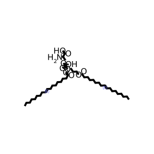 CCCCCCCC/C=C/CCCCCCCC(=O)OCC(COP(=O)(O)OCC(N)C(=O)O)OC(=O)CCCCCCC/C=C/CCCCCCCC